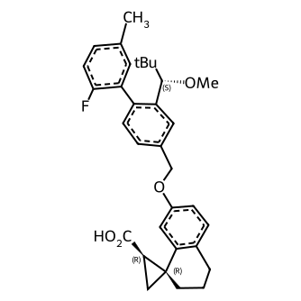 CO[C@H](c1cc(COc2ccc3c(c2)[C@]2(CCC3)C[C@H]2C(=O)O)ccc1-c1cc(C)ccc1F)C(C)(C)C